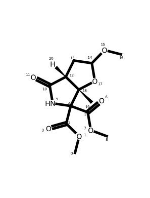 COC(=O)C1(C(=O)OC)NC(=O)[C@@H]2CC(OC)O[C@@]21C